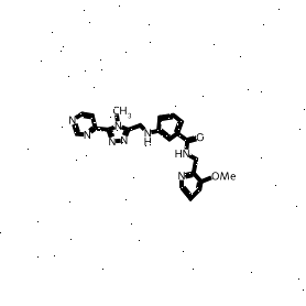 COc1cccnc1CNC(=O)c1cccc(NCc2nnc(-c3ccncn3)n2C)c1